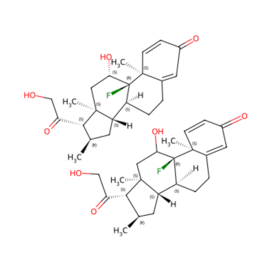 C[C@@H]1C[C@H]2[C@@H]3CCC4=CC(=O)C=C[C@]4(C)[C@@]3(F)C(O)C[C@]2(C)[C@H]1C(=O)CO.C[C@@H]1C[C@H]2[C@@H]3CCC4=CC(=O)C=C[C@]4(C)[C@@]3(F)[C@@H](O)C[C@]2(C)[C@H]1C(=O)CO